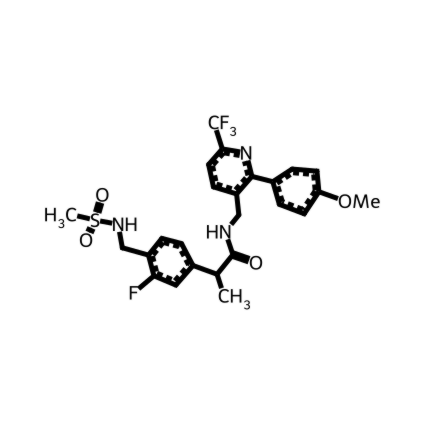 COc1ccc(-c2nc(C(F)(F)F)ccc2CNC(=O)C(C)c2ccc(CNS(C)(=O)=O)c(F)c2)cc1